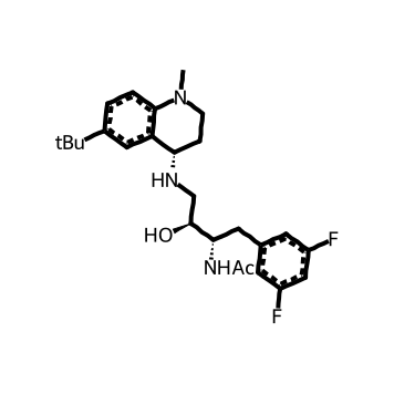 CC(=O)N[C@@H](Cc1cc(F)cc(F)c1)[C@@H](O)CN[C@H]1CCN(C)c2ccc(C(C)(C)C)cc21